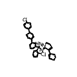 Clc1ccc(-c2ccc(-c3cccc(C4(c5ccccc5Cl)N=C5C(c6ccccc6)=CC=CN5N4)c3)cc2)cc1